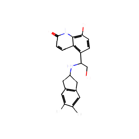 CCc1cc2c(cc1CC)CC(NC(CO)c1ccc(O)c3[nH]c(=O)ccc13)C2